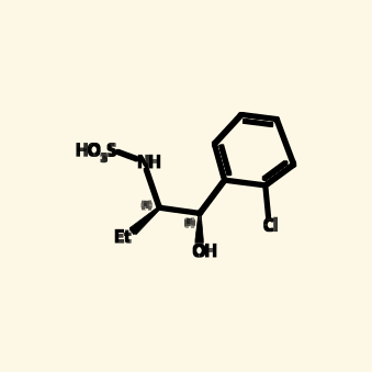 CC[C@@H](NS(=O)(=O)O)[C@H](O)c1ccccc1Cl